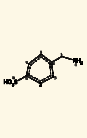 NCc1ccc(S(=O)(=O)O)cc1